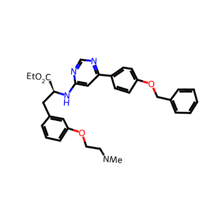 CCOC(=O)[C@H](Cc1cccc(OCCNC)c1)Nc1cc(-c2ccc(OCc3ccccc3)cc2)ncn1